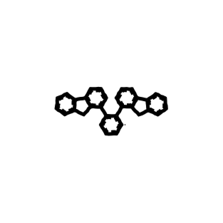 [c]1cccc(-c2cccc3c2Cc2ccccc2-3)c1-c1cccc2c1Cc1ccccc1-2